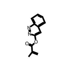 C=C(C)C(=O)Oc1cc2ccccc2nn1